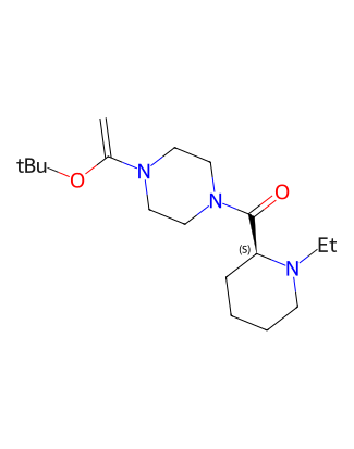 C=C(OC(C)(C)C)N1CCN(C(=O)[C@@H]2CCCCN2CC)CC1